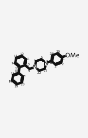 COc1ccc(N2CCN(Cc3ccccc3-c3ccccc3)CC2)cc1